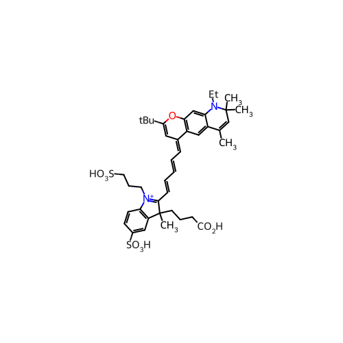 CCN1c2cc3c(cc2C(C)=CC1(C)C)/C(=C/C=C/C=C/C1=[N+](CCCS(=O)(=O)O)c2ccc(S(=O)(=O)O)cc2C1(C)CCCC(=O)O)C=C(C(C)(C)C)O3